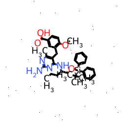 CCCC(CO[Si](c1ccccc1)(c1ccccc1)C(C)(C)C)Nc1nc(N)nc(C)c1Cc1cc(C(=O)O)ccc1OC